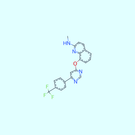 CNc1ccc2cccc(Oc3cc(-c4ccc(C(F)(F)F)cc4)ncn3)c2n1